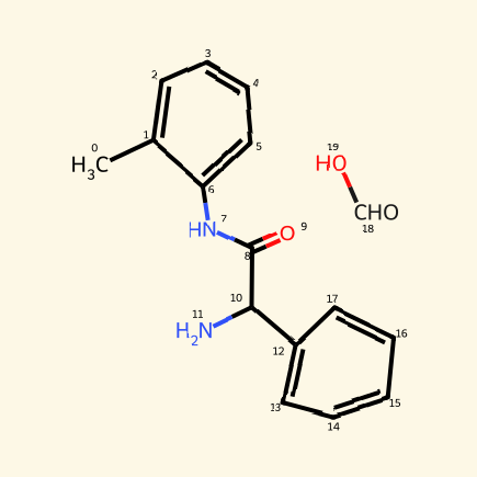 Cc1ccccc1NC(=O)C(N)c1ccccc1.O=CO